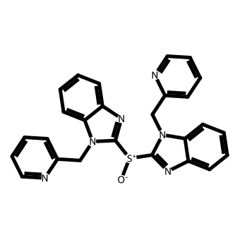 [O-][S+](c1nc2ccccc2n1Cc1ccccn1)c1nc2ccccc2n1Cc1ccccn1